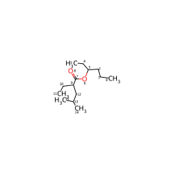 CCCC(CC)OC(=O)C(CC)CC(C)C